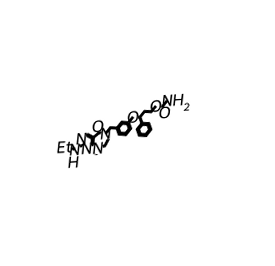 CCNc1ncc2c(n1)N(C)CCN(Cc1cccc(OC(CCOC(N)=O)c3ccccc3)c1)C2=O